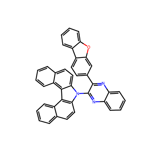 c1ccc2c(c1)ccc1c2c2c3ccccc3ccc2n1-c1nc2ccccc2nc1-c1ccc2c(c1)oc1ccccc12